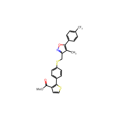 COC(=O)c1ccsc1-c1ccc(SCc2noc(-c3ccc(C(F)(F)F)cc3)c2C)cc1